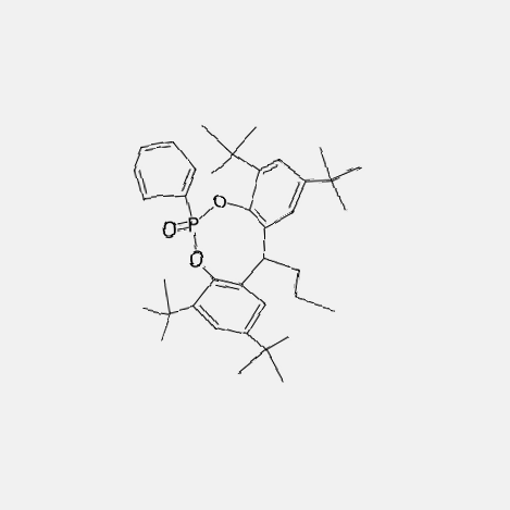 CCCC1c2cc(C(C)(C)C)cc(C(C)(C)C)c2OP(=O)(c2ccccc2)Oc2c1cc(C(C)(C)C)cc2C(C)(C)C